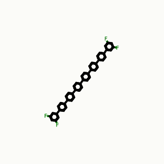 Fc1cc(F)cc(-c2ccc(-c3ccc(-c4ccc(-c5ccc(-c6ccc(-c7ccc(-c8cc(F)cc(F)c8)cc7)cc6)cc5)cc4)cc3)cc2)c1